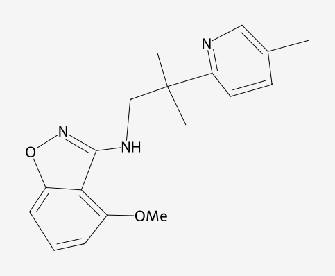 COc1cccc2onc(NCC(C)(C)c3ccc(C)cn3)c12